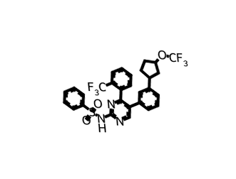 O=S(=O)(Nc1ncc(-c2cccc(C3CCC(OC(F)(F)F)C3)c2)c(-c2ccccc2C(F)(F)F)n1)c1ccccc1